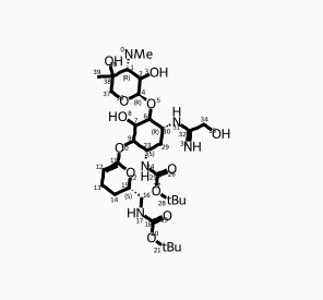 CN[C@@H]1C(O)[C@@H](OC2C(O)C(OC3=CCC[C@@H](CNC(=O)OC(C)(C)C)O3)[C@@H](NC(=O)OC(C)(C)C)C[C@H]2NC(=N)CO)OCC1(C)O